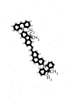 CC1(C)c2ccccc2N(c2ccc3c(ccc4cc(/C=C/C5=CC=C6c7ccc(N8c9ccccc9Cc9ccccc98)cc7C(C)(C)C6C5)ccc43)c2)c2ccccc21